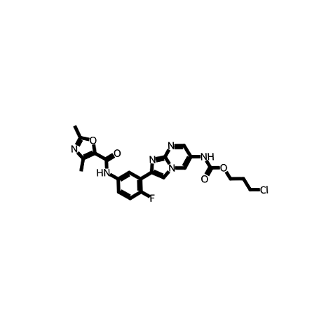 Cc1nc(C)c(C(=O)Nc2ccc(F)c(-c3cn4cc(NC(=O)OCCCCl)cnc4n3)c2)o1